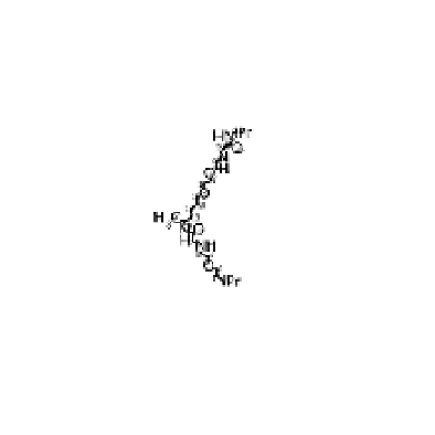 CC(C)CCOCCNCC(=O)NC(C)CCCCOCCOCCNCC(=O)NC(C)C